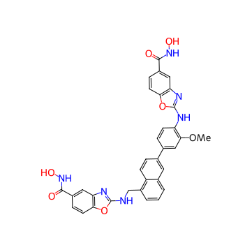 COc1cc(-c2ccc3c(CNc4nc5cc(C(=O)NO)ccc5o4)cccc3c2)ccc1Nc1nc2cc(C(=O)NO)ccc2o1